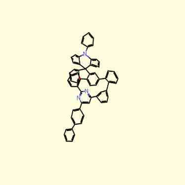 c1ccc(-c2ccc(-c3cc(-c4cccc(-c5ccccc5-c5ccc6c(c5)C5(c7ccccc7-6)c6ccccc6N(c6ccccc6)c6ccccc65)c4)nc(-c4ccccc4)n3)cc2)cc1